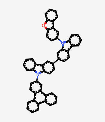 c1ccc2c(c1)oc1ccc(-n3c4ccccc4c4ccc(-c5ccc6c(c5)c5ccccc5n6-c5ccc6c7ccccc7c7ccccc7c6c5)cc43)cc12